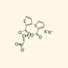 C=C[N+](=O)[O-].O=C([O-])c1cccs1.O=C([O-])c1cccs1.[K+].[K+]